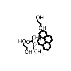 CCOC(C)=O.OCCO.OCCO.c1cc2ccc3cccc4ccc(c1)c2c34